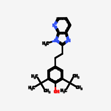 Cn1c(CCc2cc(C(C)(C)C)c(O)c(C(C)(C)C)c2)nc2cc[c]nc21